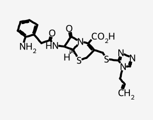 C=CCn1cnnc1SCC1=C(C(=O)O)N2C(=O)C(NC(=O)Cc3ccccc3N)[C@@H]2SC1